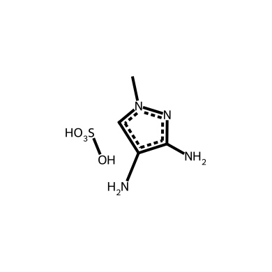 Cn1cc(N)c(N)n1.O=S(=O)(O)O